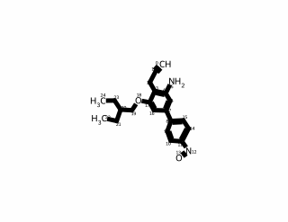 C#CCc1c(N)cc(-c2ccc(N=O)cc2)cc1OCC(CC)CC